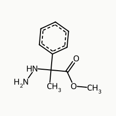 COC(=O)C(C)(NN)c1ccccc1